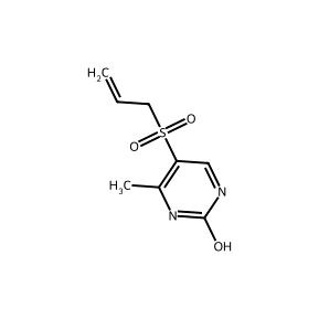 C=CCS(=O)(=O)c1cnc(O)nc1C